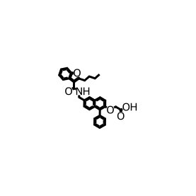 CCCCc1oc2ccccc2c1C(=O)NCc1ccc2c(-c3ccccc3)c(OCC(=O)O)ccc2c1